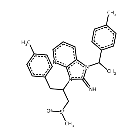 Cc1ccc(CC(C[S+](C)[O-])n2c(=N)n(C(C)c3ccc(C)cc3)c3cccnc32)cc1